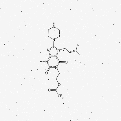 CC(C)=CCn1c(N2CCNCC2)nc2c1c(=O)n(CCOC(=O)C(F)(F)F)c(=O)n2C